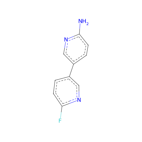 Nc1ccc(-c2ccc(F)nc2)cn1